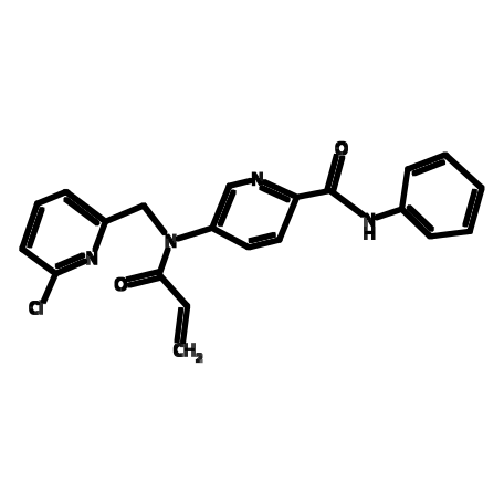 C=CC(=O)N(Cc1cccc(Cl)n1)c1ccc(C(=O)Nc2ccccc2)nc1